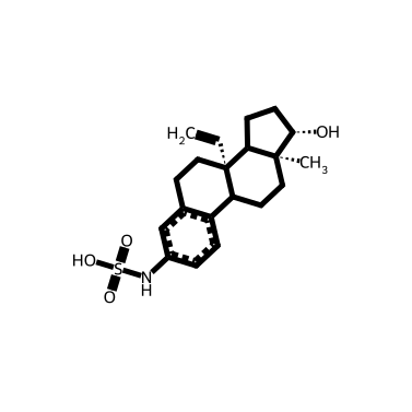 C=C[C@@]12CCc3cc(NS(=O)(=O)O)ccc3C1CC[C@@]1(C)C2CC[C@@H]1O